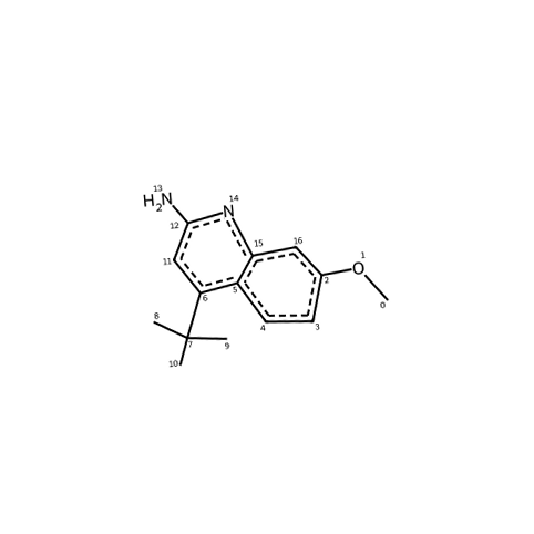 COc1ccc2c(C(C)(C)C)cc(N)nc2c1